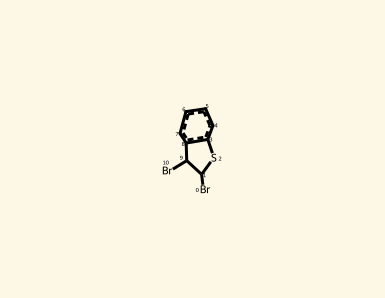 BrC1Sc2ccccc2C1Br